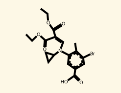 CCOC(=O)C(=CN(c1cc(C(=O)O)cc(Br)c1C)C1CC1)C(=O)OCC